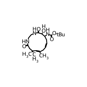 C/C1=C\C(C)(C)CC(=O)NCCNC(=O)C(O)C(NC(=O)OC(C)(C)C)C/C=C\C1